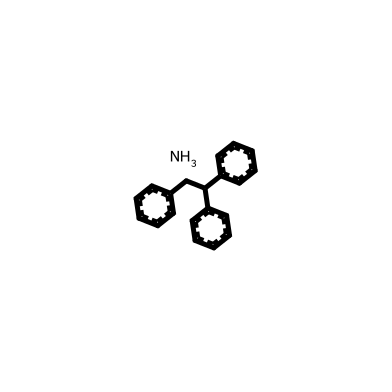 N.c1ccc(CC(c2ccccc2)c2ccccc2)cc1